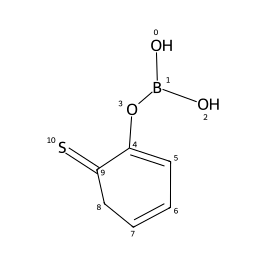 OB(O)OC1=CC=CCC1=S